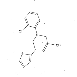 O=C(O)CN(CCc1cccs1)c1ccccc1Cl